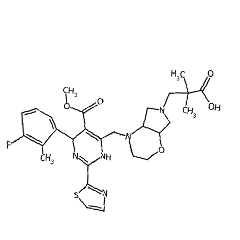 COC(=O)C1=C(CN2CCOC3CN(CC(C)(C)C(=O)O)CC32)NC(c2nccs2)=NC1c1cccc(F)c1C